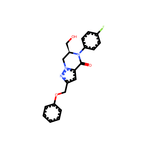 O=C1c2cc(COc3ccccc3)nn2C[C@@H](CO)N1c1ccc(F)cc1